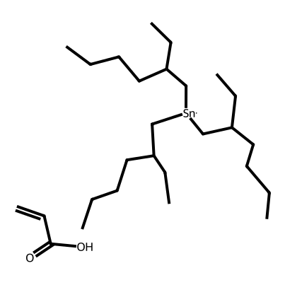 C=CC(=O)O.CCCCC(CC)[CH2][Sn]([CH2]C(CC)CCCC)[CH2]C(CC)CCCC